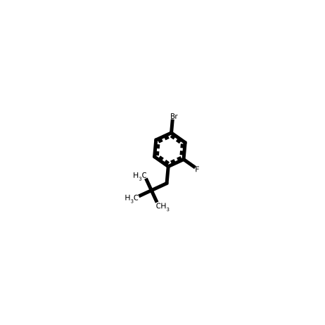 CC(C)(C)Cc1ccc(Br)cc1F